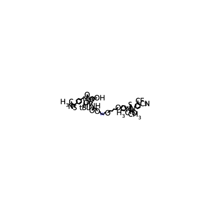 Cc1ncsc1-c1ccc(CNC(=O)[C@@H]2C[C@@H](O)CN2C(=O)C(NC(=O)COC/C=C\COCCCCOc2ccc(N3C(=S)N(c4ccc(C#N)c(C(F)(F)F)c4)C(=O)C3(C)C)cc2)C(C)(C)C)cc1